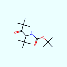 CC(C)(C)OC(=O)NC(C(=O)C(C)(C)C)C(C)(C)C